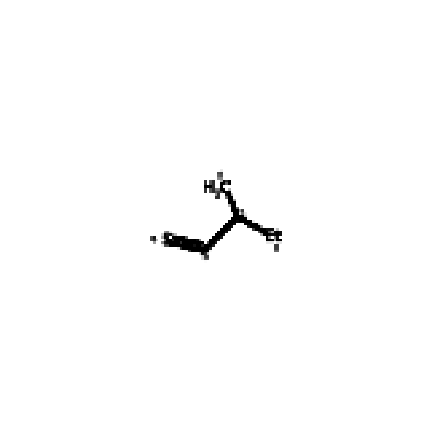 CCC(C)[C]=S